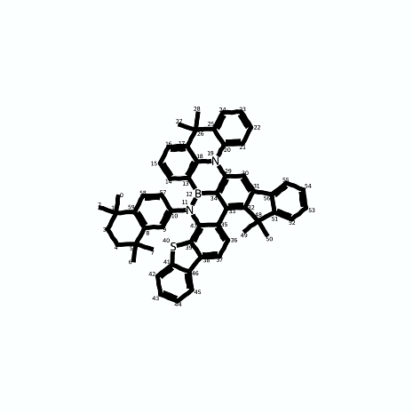 CC1(C)CCC(C)(C)c2cc(N3B4c5cccc6c5N(c5ccccc5C6(C)C)c5cc6c(c(c54)-c4ccc5c(sc7ccccc75)c43)C(C)(C)c3ccccc3-6)ccc21